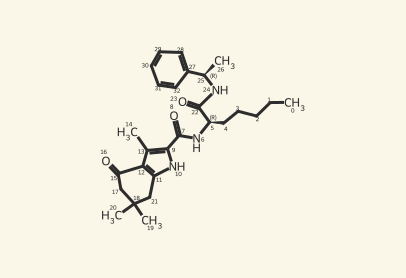 CCCCC[C@@H](NC(=O)c1[nH]c2c(c1C)C(=O)CC(C)(C)C2)C(=O)N[C@H](C)c1ccccc1